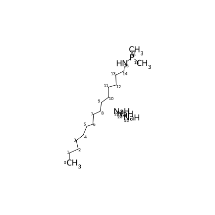 CCCCCCCCCCCCCCCNP(C)C.[NaH].[NaH].[NaH]